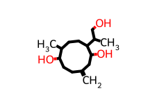 C=C1CCC(O)C(C)CCC(C(C)CO)C(O)C1